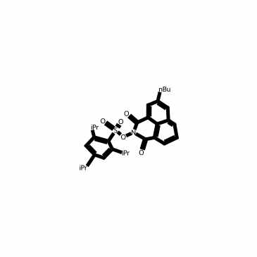 CCCCc1cc2c3c(cccc3c1)C(=O)N(OS(=O)(=O)c1c(C(C)C)cc(C(C)C)cc1C(C)C)C2=O